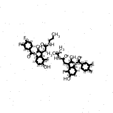 CCCNC(=O)Cc1c(C)n(C(=O)c2ccc(F)c(F)c2)c2ccc(O)c(F)c12.Cc1c(CC(=O)NC(C)C)c2c(F)c(O)ccc2n1C(=O)c1ccc(F)c(F)c1